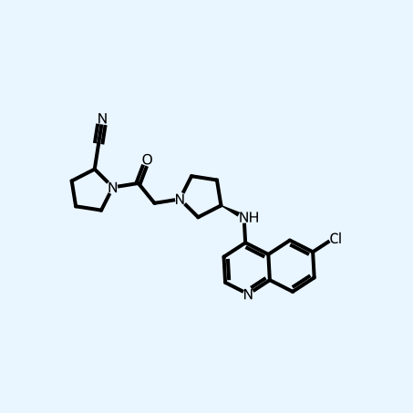 N#CC1CCCN1C(=O)CN1CC[C@@H](Nc2ccnc3ccc(Cl)cc23)C1